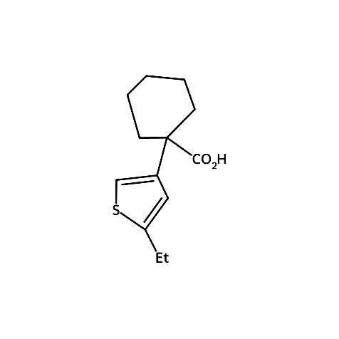 CCc1cc(C2(C(=O)O)CCCCC2)cs1